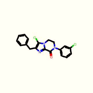 O=C1c2nc(Cc3ccccc3)c(Cl)n2CCN1c1cccc(Cl)c1